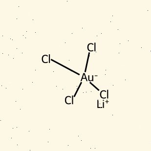 [Cl][Au-]([Cl])([Cl])[Cl].[Li+]